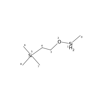 C[SiH2]OCC[Si](C)(C)C